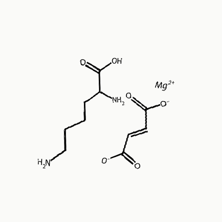 NCCCCC(N)C(=O)O.O=C([O-])/C=C/C(=O)[O-].[Mg+2]